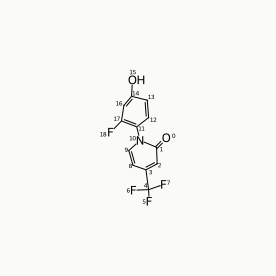 O=c1cc(C(F)(F)F)ccn1-c1ccc(O)cc1F